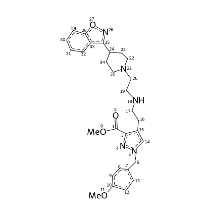 COC(=O)c1nn(Cc2ccc(OC)cc2)cc1CCNCCN1CCC(c2noc3ccccc23)CC1